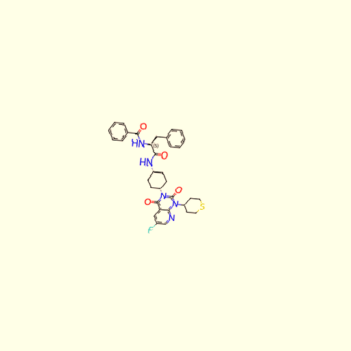 O=C(N[C@@H](Cc1ccccc1)C(=O)N[C@H]1CC[C@@H](n2c(=O)c3cc(F)cnc3n(C3CCSCC3)c2=O)CC1)c1ccccc1